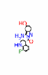 Nc1c2c(nn1C(=O)[C@H]1CCNc3c(F)cccc31)CCC(O)C2